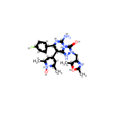 Cc1nc(Cn2[nH]c3c(-c4cc(C)[n+]([O-])c(C)c4)c(-c4ccc(F)cc4)nc(N)[n+]3c2=O)c(C)o1